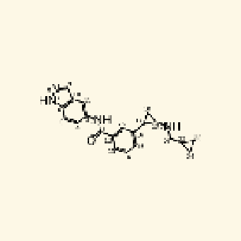 O=C(Nc1ccc2[nH]ncc2c1)c1cccc(C2CC2NCC2CC2)c1